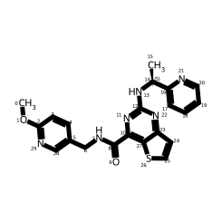 COc1ccc(CNC(=O)c2nc(N[C@@H](C)c3ccccn3)nc3ccsc23)cn1